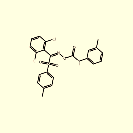 Cc1ccc(S(=O)(=O)C(=NOC(=O)Nc2cccc(C)c2)c2c(Cl)cccc2Cl)cc1